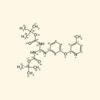 Cc1ccnc(Oc2cccc(N=C(NC(=O)OC(C)(C)C)NC(=O)OC(C)(C)C)c2)c1